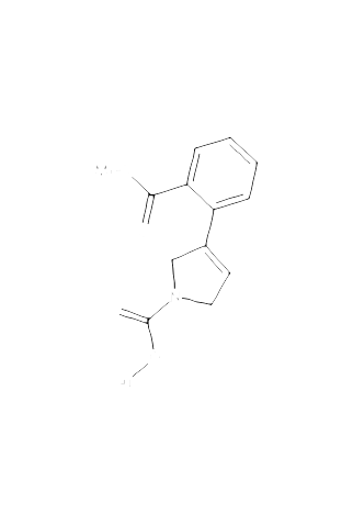 COC(=O)c1ccccc1C1=CCN(C(=O)OC(C)(C)C)C1